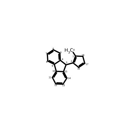 CC1=C(C2c3ccccc3-c3ccccc32)C=CC1